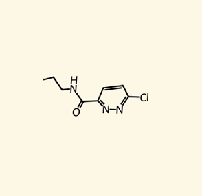 CCCNC(=O)c1ccc(Cl)nn1